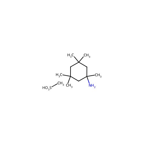 CC1(C)CC(C)(C)CC(C)(N)C1.CS(=O)(=O)O